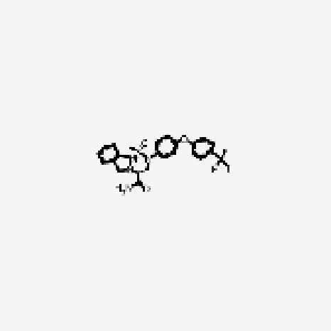 CS(=O)(=O)N(C[C@@H](C(N)=O)N1Cc2ccccc2C1)c1ccc(Oc2ccc(C(F)(F)F)cc2)cc1